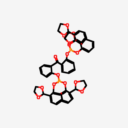 O=C(c1ccccc1OP(Oc1ccccc1C1OCCO1)Oc1ccccc1C1OCCO1)c1ccccc1OP(Oc1ccccc1C1OCCO1)Oc1ccccc1C1OCCO1